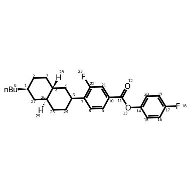 CCCC[C@H]1CC[C@@H]2CC(c3ccc(C(=O)Oc4ccc(F)cc4)cc3F)CC[C@H]2C1